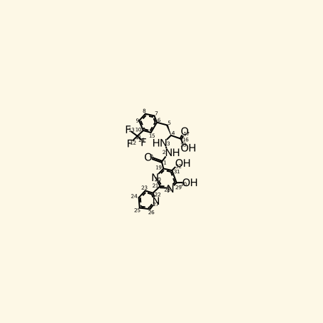 O=C(NN[C@@H](Cc1cccc(C(F)(F)F)c1)C(=O)O)c1nc(-c2ccccn2)nc(O)c1O